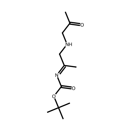 CC(=O)CNC/C(C)=N/C(=O)OC(C)(C)C